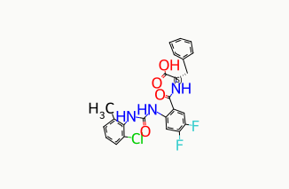 Cc1cccc(Cl)c1NC(=O)Nc1cc(F)c(F)cc1C(=O)N[C@@H](Cc1ccccc1)C(=O)O